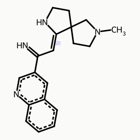 CN1CCC2(CCN/C2=C\C(=N)c2cnc3ccccc3c2)C1